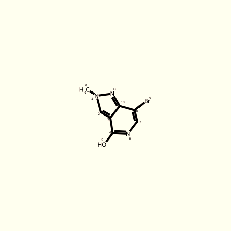 Cn1cc2c(O)ncc(Br)c2n1